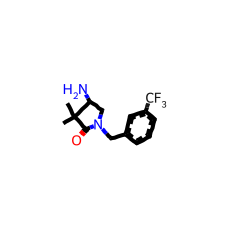 CC1(C)C(=O)N(Cc2cccc(C(F)(F)F)c2)CC1N